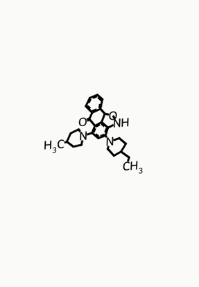 CCC1CCN(c2cc(N3CCC(C)CC3)c3c4c2NOC4c2ccccc2C3=O)CC1